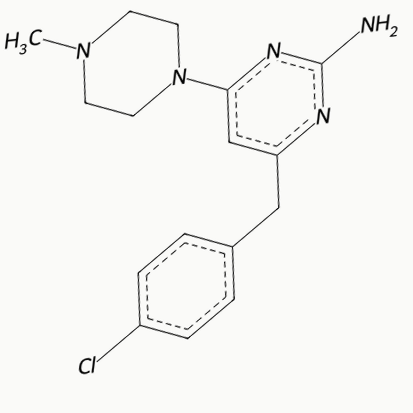 CN1CCN(c2cc(Cc3ccc(Cl)cc3)nc(N)n2)CC1